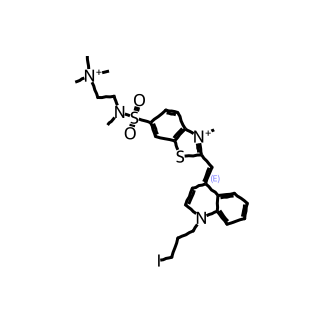 CN(CC[N+](C)(C)C)S(=O)(=O)c1ccc2c(c1)sc(/C=C1\C=CN(CCCI)c3ccccc31)[n+]2C